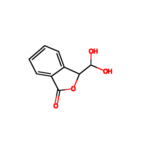 O=C1OC(C(O)O)c2ccccc21